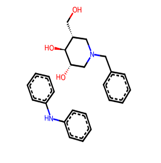 OC[C@@H]1CN(Cc2ccccc2)C[C@H](O)[C@H]1O.c1ccc(Nc2ccccc2)cc1